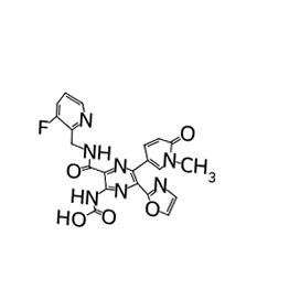 Cn1cc(-c2nc(C(=O)NCc3ncccc3F)c(NC(=O)O)nc2-c2ncco2)ccc1=O